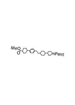 CCCCCC1CCC(C2CCC(CCc3ccc(C4CCC(C(=O)OC)CC4)cc3)CC2)CC1